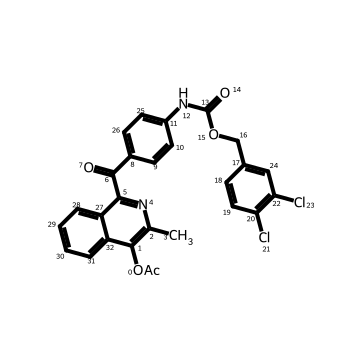 CC(=O)Oc1c(C)nc(C(=O)c2ccc(NC(=O)OCc3ccc(Cl)c(Cl)c3)cc2)c2ccccc12